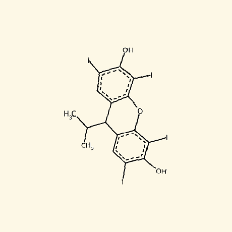 CC(C)C1c2cc(I)c(O)c(I)c2Oc2c1cc(I)c(O)c2I